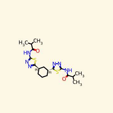 CC(C)C(=O)Nc1nnc([C@@H]2CCC[C@@H](c3nnc(NC(=O)C(C)C)s3)C2)s1